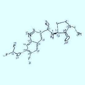 CC(C)CN1CC[C@H](NC(=O)c2cnc3cc(OC(F)F)c(F)cc3c2)C1=O